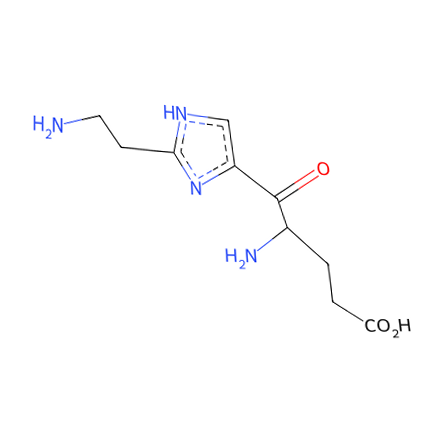 NCCc1nc(C(=O)C(N)CCC(=O)O)c[nH]1